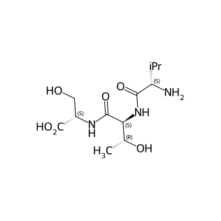 CC(C)[C@H](N)C(=O)N[C@H](C(=O)N[C@@H](CO)C(=O)O)[C@@H](C)O